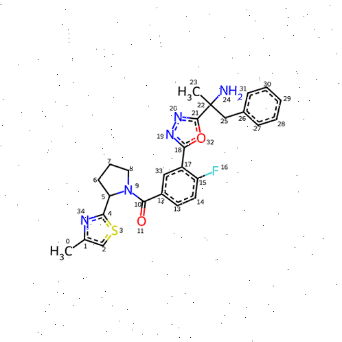 Cc1csc(C2CCCN2C(=O)c2ccc(F)c(-c3nnc(C(C)(N)Cc4ccccc4)o3)c2)n1